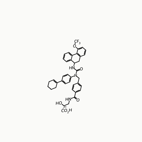 O=C(NC[C@@H](O)C(=O)O)c1ccc(CN(C(=O)NC2Cc3cccc(OC(F)(F)F)c3-c3ccccc32)c2ccc(C3=CCCCC3)cc2)cc1